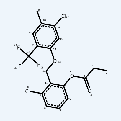 CCC(=O)Oc1cccc(Cl)c1COc1cc(Cl)c(C)cc1C(F)(F)F